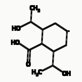 CC(O)C1C[CH]CC(C(C)O)C1C(=O)O